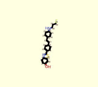 Oc1ccc2nc(-c3ccc(/C=C/c4ccc(NCCCF)cc4)cc3)sc2c1